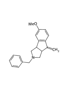 C=C1c2ccc(OC)cc2C2CN(Cc3ccccc3)CC12